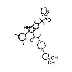 Cc1cc(C)cc(-c2[nH]c3sc(C(C)(C)C(=O)C4C5CCN4CC5)cc3c2C(=O)C(C)N2CCN(C3CCS(O)(O)C3)CC2)c1